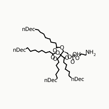 CCCCCCCCCCCCCCCCCC(=O)O[C@@H](COP(=O)(O)OCCN)C(OC(=O)CCCCCCCCCCCCCCCCC)(C(=O)CCCCCCCCCCCCCCC)C(=O)CCCCCCCCCCCCCCC